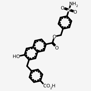 NS(=O)(=O)c1ccc(COC(=O)c2ccc3cc(O)c(Cc4ccc(C(=O)O)cc4)cc3c2)cc1